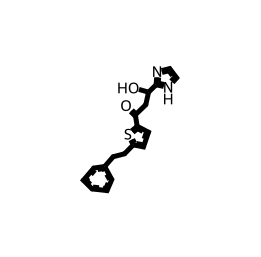 O=C(CC(O)c1ncc[nH]1)c1ccc(CCc2ccccc2)s1